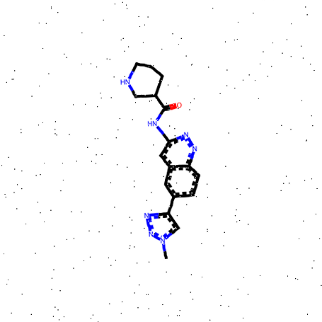 Cn1cc(-c2ccc3nnc(NC(=O)C4CCCNC4)cc3c2)nn1